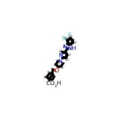 O=C(O)C12CCC(COC3CCN(c4ccc(-c5nc6c(F)c(F)ccc6[nH]5)cn4)CC3)(CC1)CC2